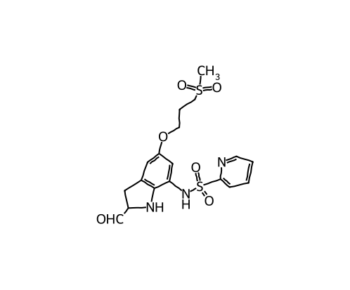 CS(=O)(=O)CCCOc1cc2c(c(NS(=O)(=O)c3ccccn3)c1)NC(C=O)C2